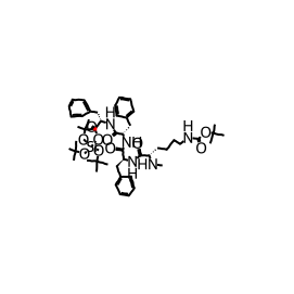 CN[C@@H](CCCCNC(=O)OC(C)(C)C)C(=O)N[C@@H](Cc1ccccc1)C(=O)N[C@@H](Cc1ccccc1)C(=O)N[C@@H](Cc1ccccc1)C(=O)O[Si](OC(C)(C)C)(OC(C)(C)C)OC(C)(C)C